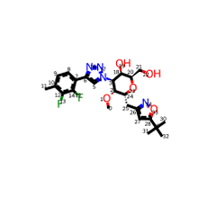 CO[C@@H]1[C@@H](n2cc(-c3ccc(C)c(F)c3F)nn2)[C@@H](O)[C@@H](CO)O[C@@H]1Cc1cc(C(C)(C)C)on1